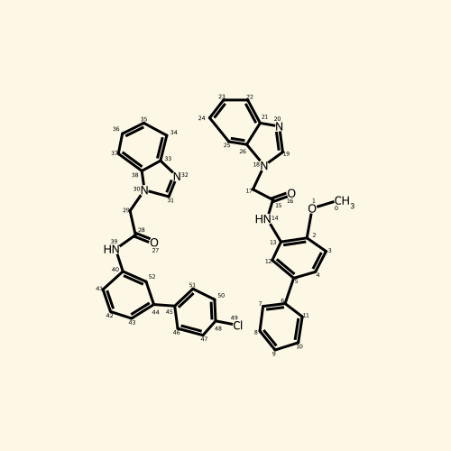 COc1ccc(-c2ccccc2)cc1NC(=O)Cn1cnc2ccccc21.O=C(Cn1cnc2ccccc21)Nc1cccc(-c2ccc(Cl)cc2)c1